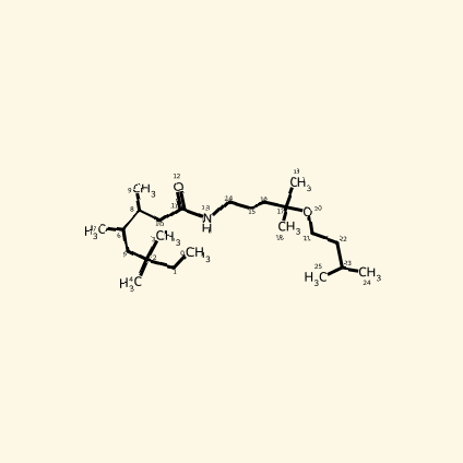 CCC(C)(C)CC(C)C(C)CC(=O)NCCCC(C)(C)OCCC(C)C